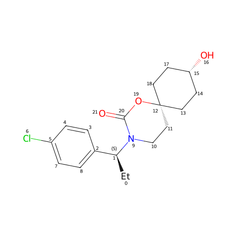 CC[C@@H](c1ccc(Cl)cc1)N1CC[C@]2(CC[C@@H](O)CC2)OC1=O